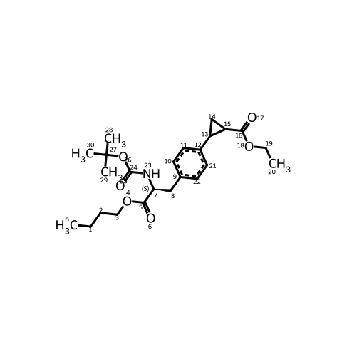 CCCCOC(=O)[C@H](Cc1ccc(C2CC2C(=O)OCC)cc1)NC(=O)OC(C)(C)C